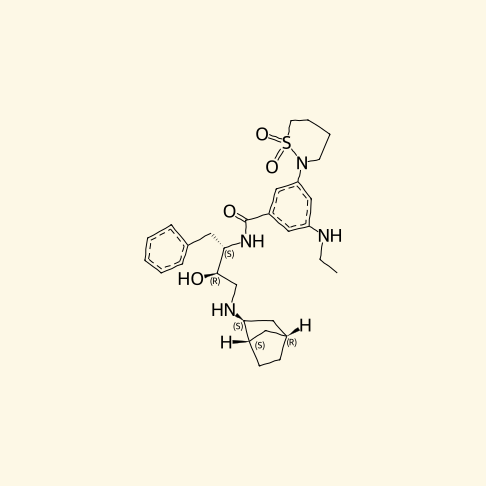 CCNc1cc(C(=O)N[C@@H](Cc2ccccc2)[C@H](O)CN[C@H]2C[C@@H]3CC[C@H]2C3)cc(N2CCCCS2(=O)=O)c1